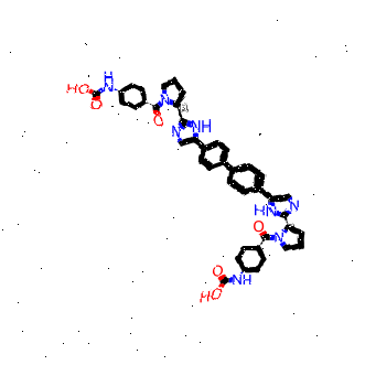 O=C(O)N[C@H]1CC[C@@H](C(=O)N2CCC[C@H]2c2ncc(-c3ccc(-c4ccc(-c5cnc([C@@H]6CCCN6C(=O)[C@H]6CC[C@@H](NC(=O)O)CC6)[nH]5)cc4)cc3)[nH]2)CC1